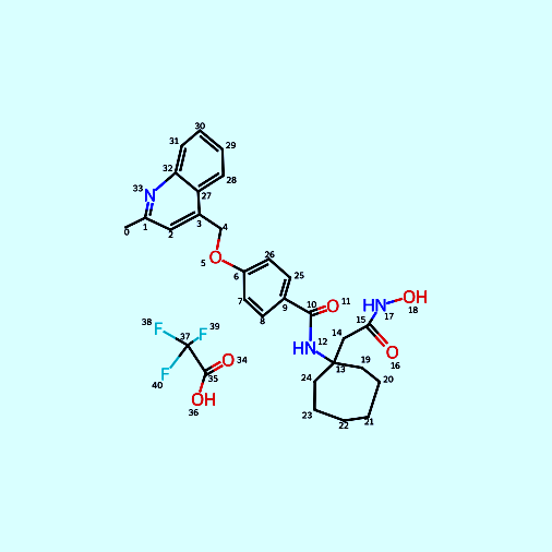 Cc1cc(COc2ccc(C(=O)NC3(CC(=O)NO)CCCCCC3)cc2)c2ccccc2n1.O=C(O)C(F)(F)F